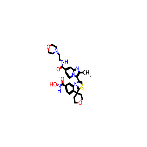 Cc1nc2cc(C(=O)NCCN3CCOCC3)ccn2c1-c1csc(C2(c3ccc(C(=O)NO)cc3)CCOCC2)n1